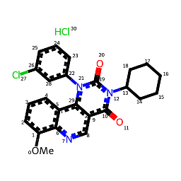 COc1cccc2c1ncc1c(=O)n(C3CCCCC3)c(=O)n(-c3cccc(Cl)c3)c12.Cl